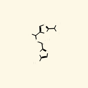 Cc1cnc([C@@H](C)NC(C)c2cnc(C(C)C)s2)s1